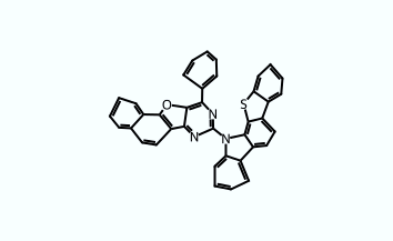 c1ccc(-c2nc(-n3c4ccccc4c4ccc5c6ccccc6sc5c43)nc3c2oc2c4ccccc4ccc32)cc1